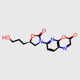 O=C1O[C@H](CCCO)CN1c1ccc2ncc(=O)oc2n1